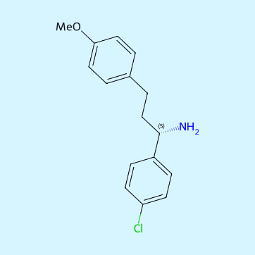 COc1ccc(CC[C@H](N)c2ccc(Cl)cc2)cc1